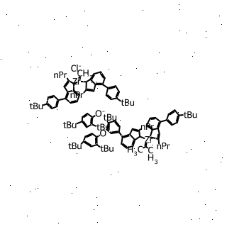 CC(C)(C)c1ccc([O-])c(C(C)(C)C)c1.CC(C)(C)c1ccc([O-])c(C(C)(C)C)c1.CCCC1=Cc2c(-c3ccc(C(C)(C)C)cc3)cccc2[CH]1[Zr](=[C](C)C)[CH]1C(CCC)=Cc2c(-c3ccc(C(C)(C)C)cc3)cccc21.[CH2]=[Zr]([CH]1C(CCC)=Cc2c(-c3ccc(C(C)(C)C)cc3)cccc21)[CH]1C(CCC)=Cc2c(-c3ccc(C(C)(C)C)cc3)cccc21.[Cl-]